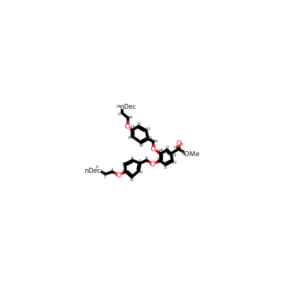 CCCCCCCCCCCCOc1ccc(COc2ccc(C(=O)OC)cc2OCc2ccc(OCCCCCCCCCCCC)cc2)cc1